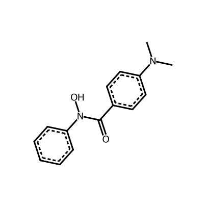 CN(C)c1ccc(C(=O)N(O)c2ccccc2)cc1